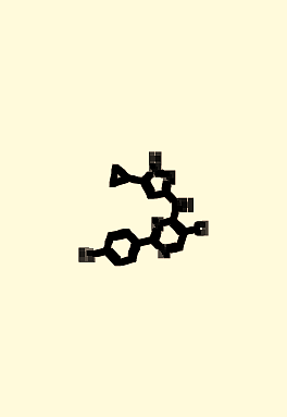 CCc1ccc(-c2ncc(Cl)c(Nc3cc(C4CC4)[nH]n3)n2)cc1